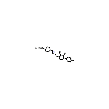 CCCCCC1CCC(/C=C/CCc2ccc(-c3ccc(C)cc3)c(F)c2F)CC1